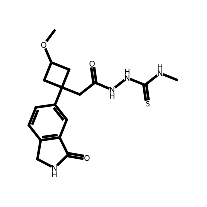 CNC(=S)NNC(=O)CC1(c2ccc3c(c2)C(=O)NC3)CC(OC)C1